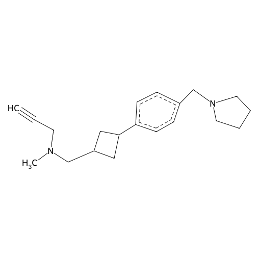 C#CCN(C)CC1CC(c2ccc(CN3CCCC3)cc2)C1